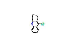 Clc1c2c(nc3ccccc13)CCCC2.F